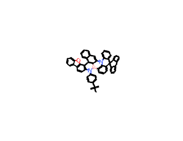 CC(C)(C)c1ccc(N2B3c4cccc5c4N(c4ccccc4C54c5ccccc5-c5ccccc54)c4cc5ccccc5c(c43)-c3c2ccc2c3oc3ccccc32)cc1